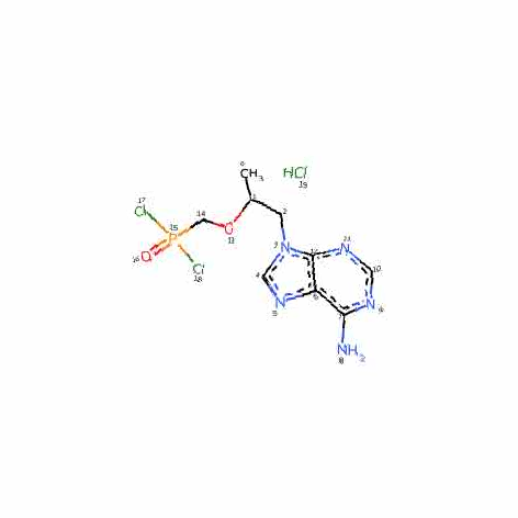 CC(Cn1cnc2c(N)ncnc21)OCP(=O)(Cl)Cl.Cl